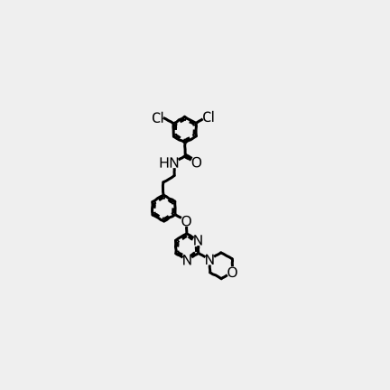 O=C(NCCc1cccc(Oc2ccnc(N3CCOCC3)n2)c1)c1cc(Cl)cc(Cl)c1